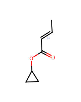 C/C=C/C(=O)OC1CC1